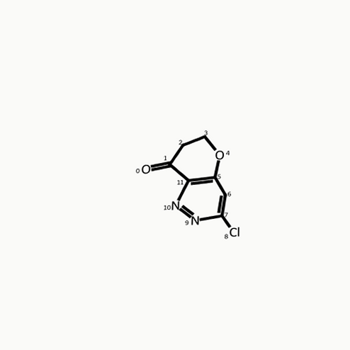 O=C1CCOc2cc(Cl)nnc21